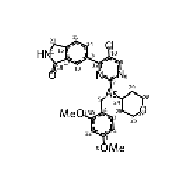 COc1ccc(C[As](c2ncc(Cl)c(-c3ccc4c(c3)C(=O)NC4)n2)C2CCOCC2)c(OC)c1